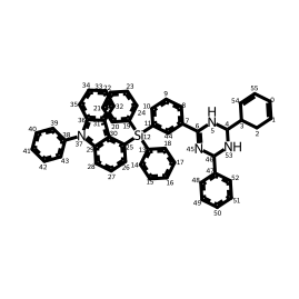 C1=CCC(C2NC(c3cccc([Si](c4ccccc4)(c4ccccc4)c4cccc5c4c4ccccc4n5-c4ccccc4)c3)=NC(c3ccccc3)N2)C=C1